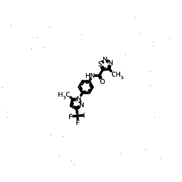 Cc1nnsc1C(=O)Nc1ccc(-n2nc(C(F)(F)I)cc2C)cc1